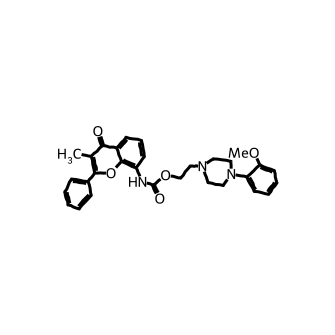 COc1ccccc1N1CCN(CCOC(=O)Nc2cccc3c(=O)c(C)c(-c4ccccc4)oc23)CC1